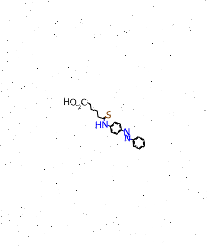 O=C(O)CCCCC(=S)Nc1ccc(N=Nc2ccccc2)cc1